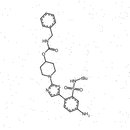 CC(C)(C)NS(=O)(=O)c1cc(N)ccc1-c1cnc(N2CCC(OC(=O)NCc3ccccc3)CC2)s1